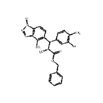 CCc1cc([C@H](c2ccc3c(nnn3CC)c2C)[C@H](C)C(=O)OCc2ccccc2)ccc1C